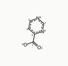 [O]C(=O)c1ccncn1